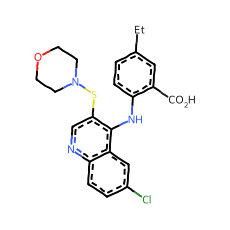 CCc1ccc(Nc2c(SN3CCOCC3)cnc3ccc(Cl)cc23)c(C(=O)O)c1